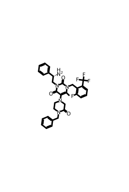 Cc1c(N2CCN(Cc3ccccc3)C(=O)C2)c(=O)n(C[C@@H](N)c2ccccc2)c(=O)n1Cc1c(F)cccc1C(F)(F)F